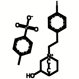 Cc1ccc(S(=O)(=O)[O-])cc1.OC1C[N+]2(CCc3ccc(I)cc3)CCC1CC2